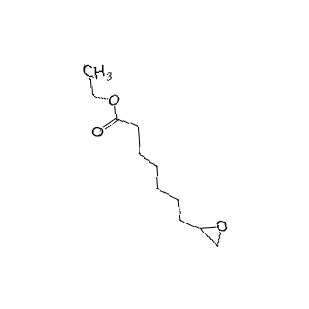 CCOC(=O)CCCCCCC1CO1